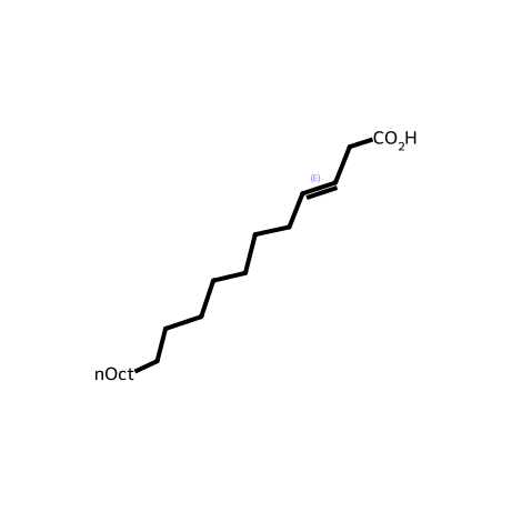 CCCCCCCCCCCCCCC/C=C/CC(=O)O